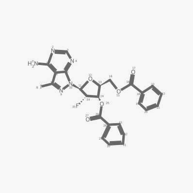 Nc1ncnc2c1c(I)nn2[C@H]1O[C@@H](COC(=O)c2ccccc2)[C@H](OC(=O)c2ccccc2)[C@@H]1F